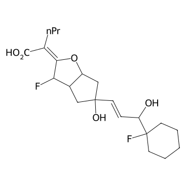 CCCC(C(=O)O)=C1OC2CC(O)(C=CC(O)C3(F)CCCCC3)CC2C1F